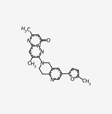 Cc1cc(=O)n2nc(N3CCc4ncc(-c5ccc(C)o5)cc4C3)c(C)cc2n1